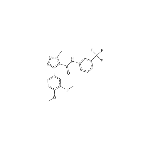 COc1ccc(-c2noc(C)c2C(=O)Nc2cccc(C(F)(F)F)c2)cc1OC